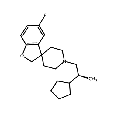 C[C@H](CN1CCC2(CC1)COc1ccc(F)cc12)C1CCCC1